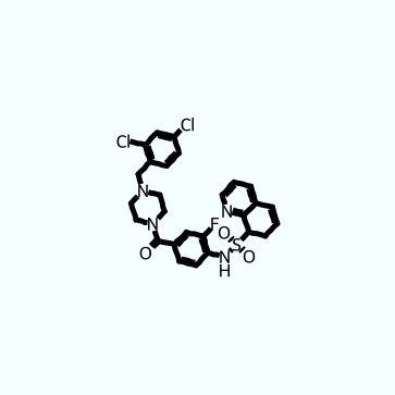 O=C(c1ccc(NS(=O)(=O)C2CC=Cc3cccnc32)c(F)c1)N1CCN(Cc2ccc(Cl)cc2Cl)CC1